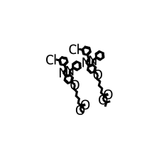 CC(C)OC(=O)CCCCCOc1ccc2nc(-c3cccc(Cl)c3)n(-c3ccccc3)c2c1.COC(=O)CCCCCOc1ccc2nc(-c3cccc(Cl)c3)n(-c3ccccc3)c2c1